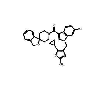 Cc1nc(Cn2cc(C(=O)N3CCC4(CC3)OCc3ccccc34)c3ccc(Cl)cc32)c(C2CC2)o1